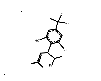 CCCCC(C)(C)c1cc(O)c(C(C=C(C)C)C(C)C(C)C)c(O)c1